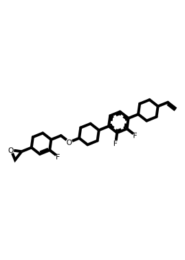 C=CC1CCC(c2ccc(C3CCC(OCC4CCC(C5CO5)C=C4F)CC3)c(F)c2F)CC1